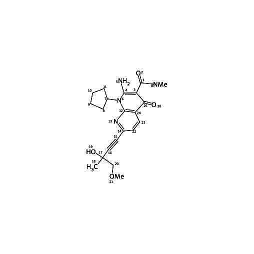 CNC(=O)c1c(N)n(C2CCCC2)c2nc(C#CC(C)(O)COC)ccc2c1=O